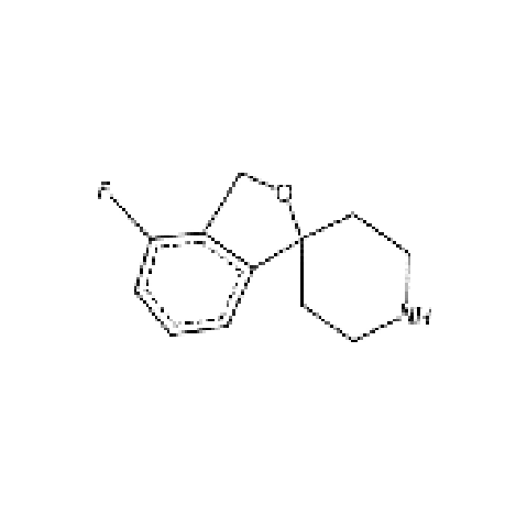 Fc1cccc2c1COC21CCNCC1